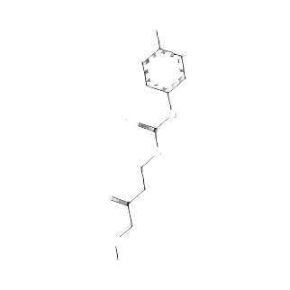 CCOCC(=O)CCNC(=O)Nc1ccc(Cl)cc1